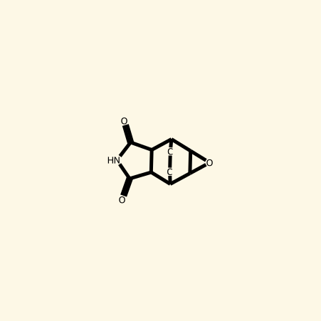 O=C1NC(=O)C2C3CCC(C4OC34)C12